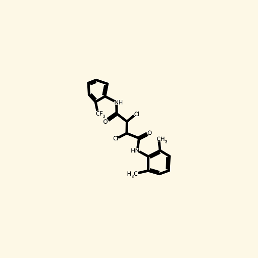 Cc1cccc(C)c1NC(=O)C(Cl)C(Cl)C(=O)Nc1ccccc1C(F)(F)F